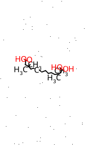 CC(C)(CCCCCCCCCC(C)(C)CC(O)O)CC(=O)O